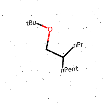 CCCCCC(CCC)COC(C)(C)C